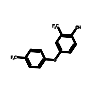 Oc1ccc(Oc2ccc(C(F)(F)F)cc2)cc1C(F)(F)F